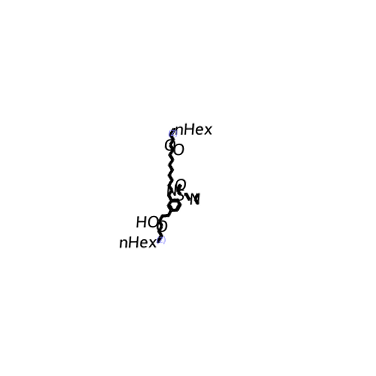 CCCCCC/C=C\COC(=O)CCCCCCCN(Cc1cccc(CCC(O)OC/C=C\CCCCCC)c1)C(=O)SCCN(C)C